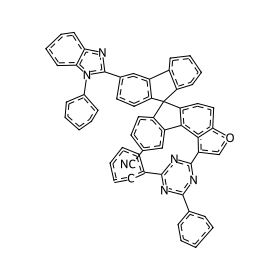 N#Cc1ccc2c(c1)-c1c(ccc3occ(-c4nc(-c5ccccc5)nc(-c5ccccc5)n4)c13)C21c2ccccc2-c2cc(-c3nc4ccccc4n3-c3ccccc3)ccc21